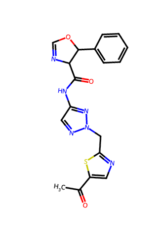 CC(=O)c1cnc(Cn2ncc(NC(=O)C3N=COC3c3ccccc3)n2)s1